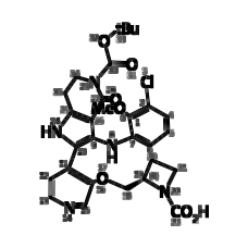 COc1c(Cl)cccc1Nc1c(-c2ccncc2OC[C@H]2CCN2C(=O)O)[nH]c2c1C(=O)N(C(=O)OC(C)(C)C)CC2